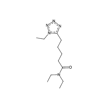 CCN(CC)C(=O)CCCCc1nnnn1CC